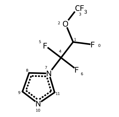 FC(OC(F)(F)F)C(F)(F)n1ccnc1